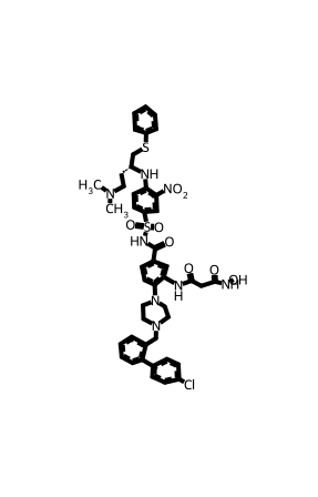 CN(C)CC[C@H](CSc1ccccc1)Nc1ccc(S(=O)(=O)NC(=O)c2ccc(N3CCN(Cc4ccccc4-c4ccc(Cl)cc4)CC3)c(NC(=O)CC(=O)NO)c2)cc1[N+](=O)[O-]